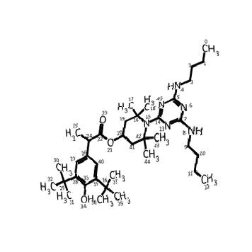 CCCCNc1nc(NCCCC)nc(N2C(C)(C)CC(OC(=O)C(C)c3cc(C(C)(C)C)c(O)c(C(C)(C)C)c3)CC2(C)C)n1